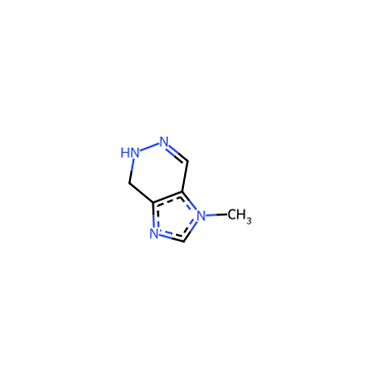 Cn1cnc2c1C=NNC2